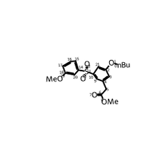 CCCCOc1cc(CC(=O)OC)cc(S(=O)(=O)c2cccc(OC)c2)c1